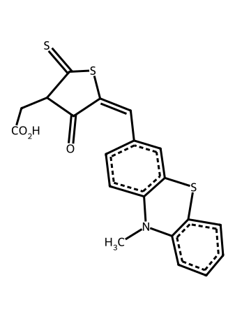 CN1c2ccccc2Sc2cc(/C=C3/SC(=S)C(CC(=O)O)C3=O)ccc21